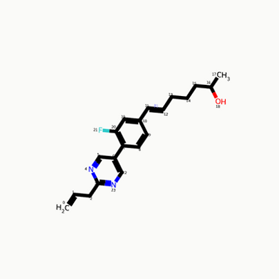 C=CCc1ncc(-c2ccc(/C=C/CCCC(C)O)cc2F)cn1